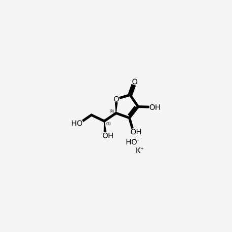 O=C1O[C@H]([C@@H](O)CO)C(O)=C1O.[K+].[OH-]